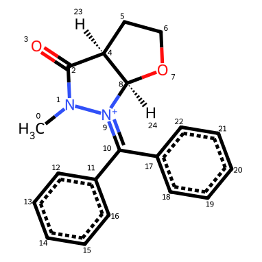 CN1C(=O)[C@H]2CCO[C@H]2[N+]1=C(c1ccccc1)c1ccccc1